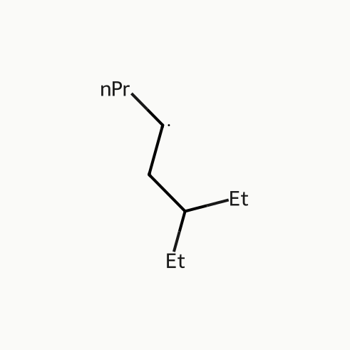 CCC[CH]CC(CC)CC